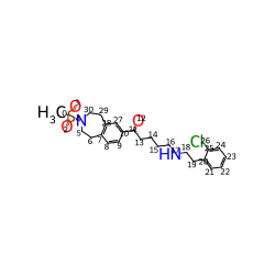 CS(=O)(=O)N1CCc2ccc(C(=O)CCCCNCCc3ccccc3Cl)cc2CC1